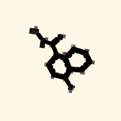 O=C(NO)c1ccc(Br)c2ccccc12